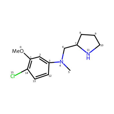 COc1cc(N(C)CC2CCCN2)ccc1Cl